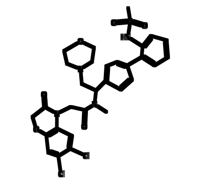 CN(C(=O)CN1C(=O)COc2cc(Cl)c(Cl)cc21)C(CN1CCOCC1)c1ccc(-c2ccccc2NS(C)(=O)=O)cc1